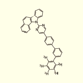 [2H]c1c([2H])c([2H])c(-c2cccc(-c3ccc(-c4cnc(-n5c6ccccc6c6ccc7ccccc7c65)nc4)cc3)c2)c([2H])c1[2H]